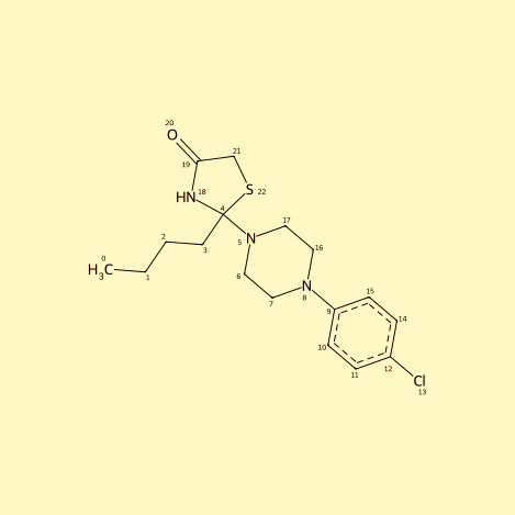 CCCCC1(N2CCN(c3ccc(Cl)cc3)CC2)NC(=O)CS1